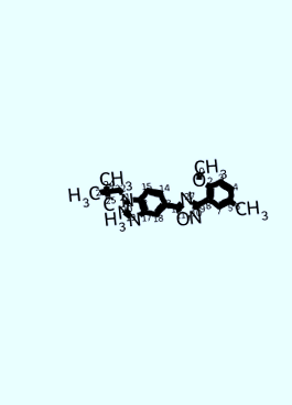 COc1ccc(C)cc1-c1noc(-c2ccc3c(c2)nnn3CC(C)(C)C)n1